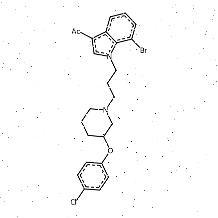 CC(=O)c1cn(CCCN2CCCC(Oc3ccc(Cl)cc3)C2)c2c(Br)cccc12